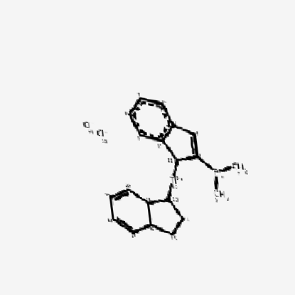 CP(C)C1=Cc2ccccc2[CH]1[Ti+2][CH]1CCC2C=CC=CC21.[Cl-].[Cl-]